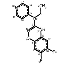 CCN(C1=NSc2cc(F)c(F)cc2N1)c1ccncc1